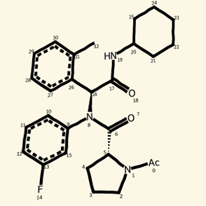 CC(=O)N1CCC[C@@H]1C(=O)N(c1cccc(F)c1)[C@H](C(=O)NC1CCCCC1)c1ccccc1C